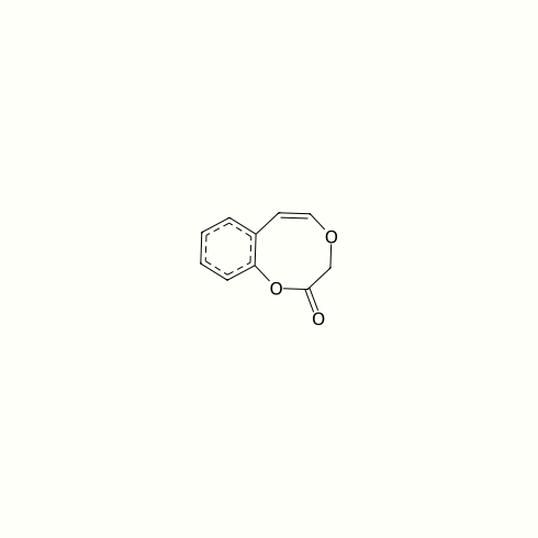 O=C1COC=Cc2ccccc2O1